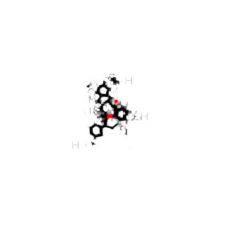 COc1ccc2[nH]c3c(c2c1)C[C@H](CN)N[C@]31CCSC2c3c(OC(C)=O)c(C)c4c(c3[C@@H](COC1=O)N1[C@H](O)[C@H]3Cc5cc(C)c(OC)c(O)c5[C@H]([C@@H]21)N3C)OCO4